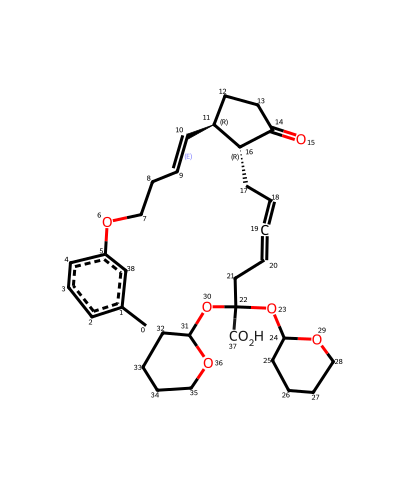 Cc1cccc(OCC/C=C/[C@H]2CCC(=O)[C@@H]2CC=C=CCC(OC2CCCCO2)(OC2CCCCO2)C(=O)O)c1